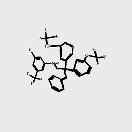 Fc1cc(NCC(Cc2ccccc2)(c2cccc(OC(F)(F)F)c2)c2cccc(OC(F)(F)F)c2)cc(C(F)(F)F)c1